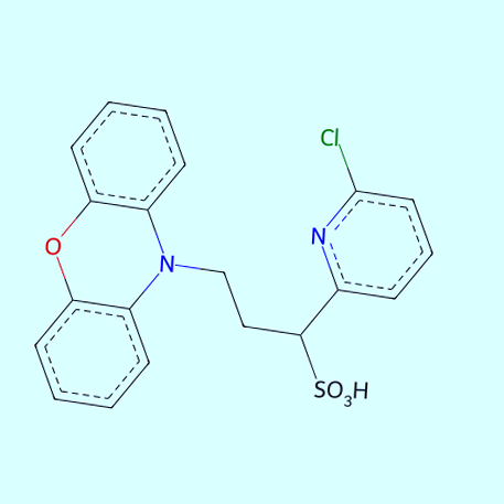 O=S(=O)(O)C(CCN1c2ccccc2Oc2ccccc21)c1cccc(Cl)n1